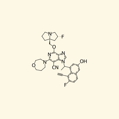 C#Cc1c(F)ccc2cc(O)cc(C(C)n3cnc4c(OC[C@@]56CCCN5C[C@H](F)C6)nc(N5CCCOCC5)c(C#N)c43)c12